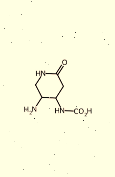 NC1CNC(=O)CC1NC(=O)O